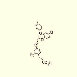 CCc1cc(OCC[C@H](C)Oc2ccc(Cl)cc2Oc2ccc(C)cc2)ccc1CCC(=O)O